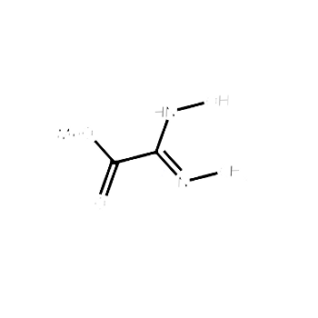 C/N=C(\NO)C(=O)OC